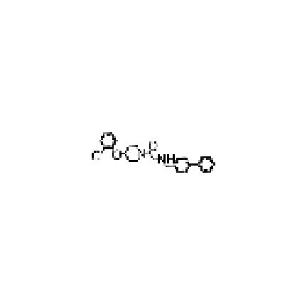 O=C(CNCc1ccc(-c2ccccc2)cc1)N1CCC(Oc2ccccc2Cl)CC1